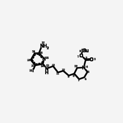 CC(C)(C)OC(=O)N1CCCC(CCCCNc2nc(N)ccc2I)C1